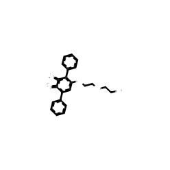 OCCOCCOc1cc(-c2ccccc2)c2nonc2c1-c1ccccc1